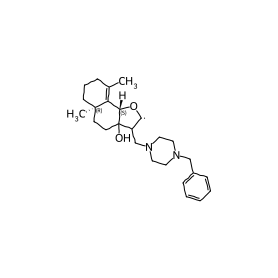 CC1=C2[C@@H]3O[CH]C(CN4CCN(Cc5ccccc5)CC4)C3(O)CC[C@@]2(C)CCC1